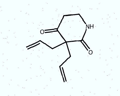 C=CCC1(CC=C)C(=O)CCNC1=O